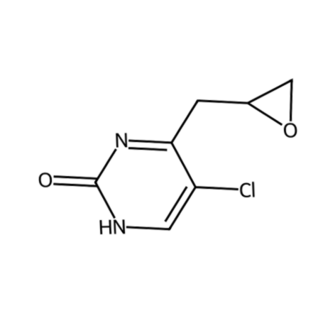 O=c1nc(CC2CO2)c(Cl)c[nH]1